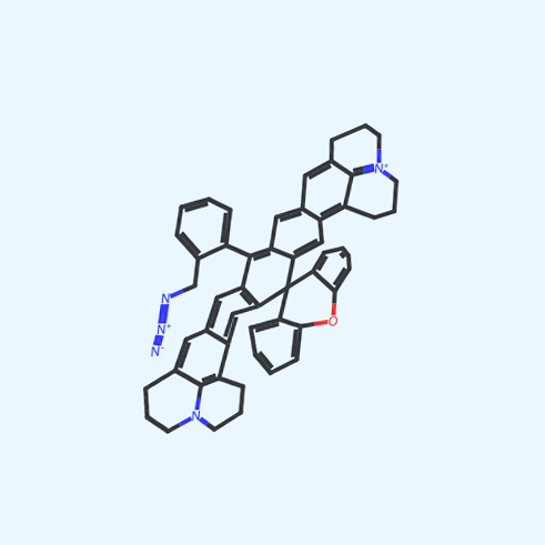 [N-]=[N+]=NCc1ccccc1C1=c2cc3cc4c5c(c3cc2C2(c3ccccc3Oc3ccccc32)c2cc3c6c7c(cc3cc21)CCCN7CCC6)CCC[N+]=5CCC4